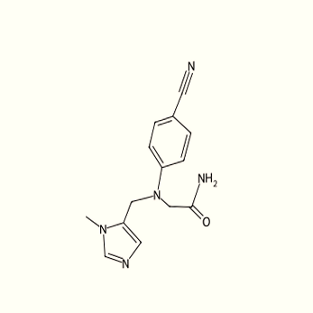 Cn1cncc1CN(CC(N)=O)c1ccc(C#N)cc1